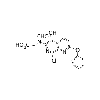 O=CN(CC(=O)O)c1nc(Cl)c2nc(Oc3ccccc3)ccc2c1O